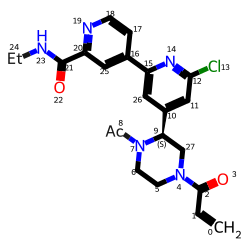 C=CC(=O)N1CCN(C(C)=O)[C@@H](c2cc(Cl)nc(-c3ccnc(C(=O)NCC)c3)c2)C1